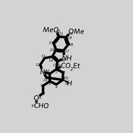 CCOC(=O)C12C[C@@H]3CC(CCOC=O)C1N(CCc1c2[nH]c2cc(OC)c(OC)cc12)C3